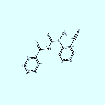 CN(C(=S)NC(=O)c1ccccc1)c1ccccc1C#N